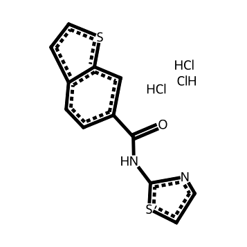 Cl.Cl.Cl.O=C(Nc1nccs1)c1ccc2ccsc2c1